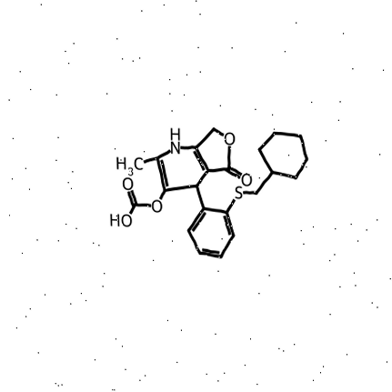 CC1=C(OC(=O)O)C(c2ccccc2SCC2CCCCC2)C2=C(COC2=O)N1